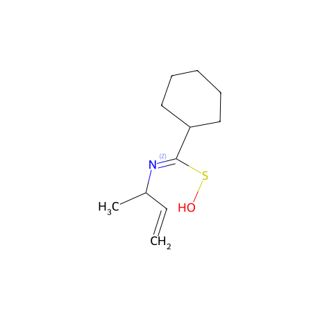 C=CC(C)/N=C(\SO)C1CCCCC1